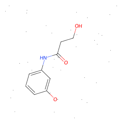 [O]c1cccc(NC(=O)CCO)c1